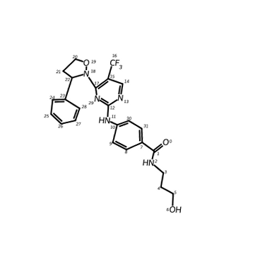 O=C(NCCCO)c1ccc(Nc2ncc(C(F)(F)F)c(N3OCCC3c3ccccc3)n2)cc1